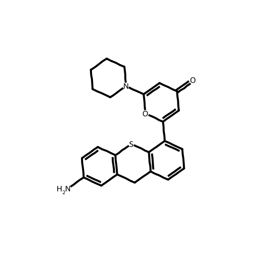 Nc1ccc2c(c1)Cc1cccc(-c3cc(=O)cc(N4CCCCC4)o3)c1S2